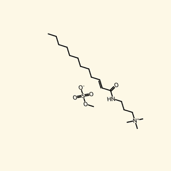 CCCCCCCCCC=CC(=O)NCCC[N+](C)(C)C.COS(=O)(=O)[O-]